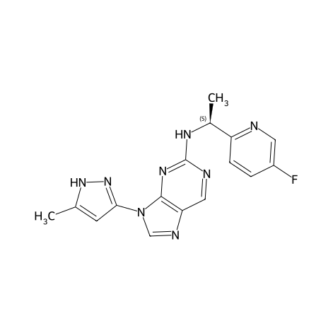 Cc1cc(-n2cnc3cnc(N[C@@H](C)c4ccc(F)cn4)nc32)n[nH]1